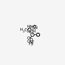 Cc1cc(Nc2ccn[nH]2)nc(N2CC(C(=O)OC(=O)C(F)(F)F)CC(c3ccccc3)C2)n1